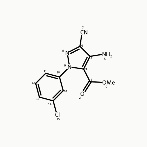 COC(=O)c1c(N)c(C#N)nn1-c1cccc(Cl)c1